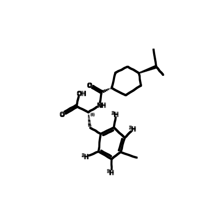 [2H]c1c([2H])c(C[C@@H](NC(=O)[C@H]2CC[C@H](C(C)C)CC2)C(=O)O)c([2H])c([2H])c1C